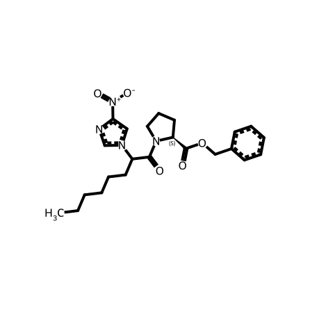 CCCCCCC(C(=O)N1CCC[C@H]1C(=O)OCc1ccccc1)n1cnc([N+](=O)[O-])c1